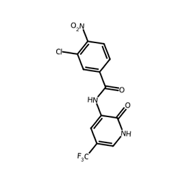 O=C(Nc1cc(C(F)(F)F)c[nH]c1=O)c1ccc([N+](=O)[O-])c(Cl)c1